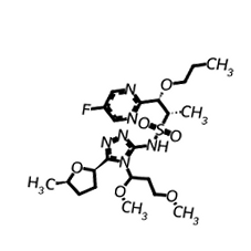 CCCO[C@@H](c1ncc(F)cn1)[C@H](C)S(=O)(=O)Nc1nnc([C@H]2CC[C@@H](C)O2)n1C(CCOC)OC